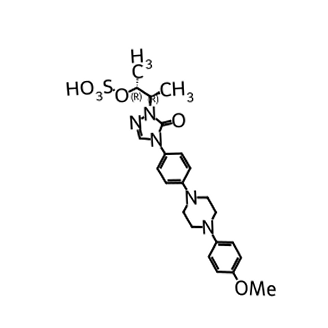 COc1ccc(N2CCN(c3ccc(-n4cnn([C@H](C)[C@@H](C)OS(=O)(=O)O)c4=O)cc3)CC2)cc1